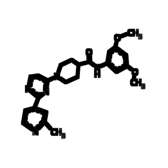 COc1cc(NC(=O)C2CCN(c3ccnc(-c4ccnc(C)c4)n3)CC2)cc(OC)c1